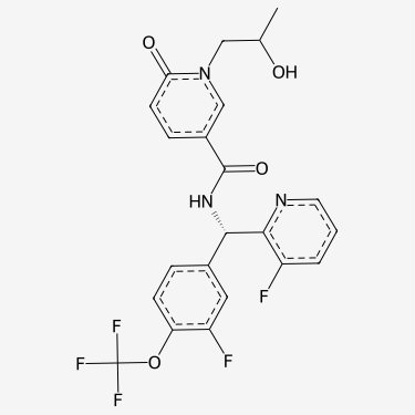 CC(O)Cn1cc(C(=O)N[C@@H](c2ccc(OC(F)(F)F)c(F)c2)c2ncccc2F)ccc1=O